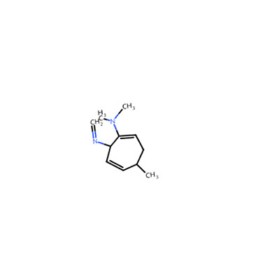 C=NC1C=CC(C)CC=C1N(C)C